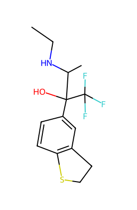 CCNC(C)C(O)(c1ccc2c(c1)CCS2)C(F)(F)F